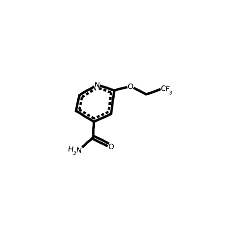 NC(=O)c1ccnc(OCC(F)(F)F)c1